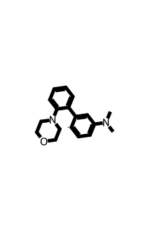 CN(C)c1cc[c]c(-c2ccccc2N2CCOCC2)c1